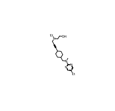 CCc1cnc(N(C)CC2CCC(C#CCN(CC)CCO)CC2)nc1